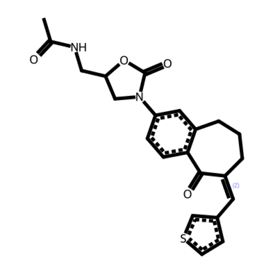 CC(=O)NCC1CN(c2ccc3c(c2)CCC/C(=C/c2ccsc2)C3=O)C(=O)O1